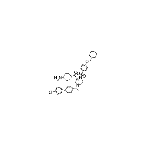 CC(c1ccc(-c2ccc(Cl)cc2)cc1)N1CCN(S(=O)(=O)c2ccc(OCC3CCCCC3)cc2)[C@H](C(=O)N2CCC(N)CC2)C1